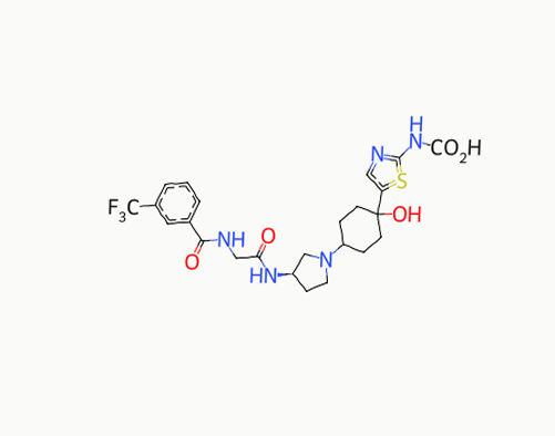 O=C(O)Nc1ncc(C2(O)CCC(N3CC[C@@H](NC(=O)CNC(=O)c4cccc(C(F)(F)F)c4)C3)CC2)s1